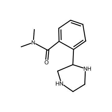 CN(C)C(=O)c1ccccc1C1CNCCN1